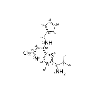 Cc1c(C(N)C(C)C)sc2c(NCC3=CC=CC3)cc(Cl)nc12